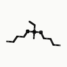 CCCCO[Si](C)(CC)OCCCC